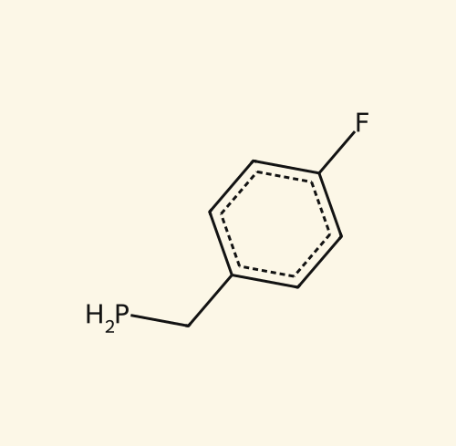 Fc1ccc(CP)cc1